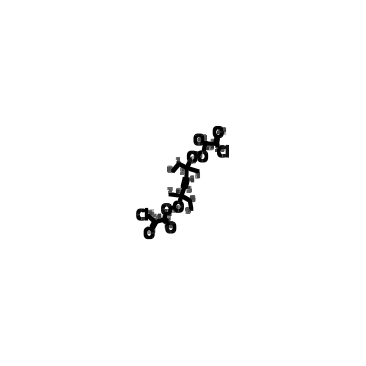 CCC(C)(C#CC(C)(CC)OOC(=O)C(=O)Cl)OOC(=O)C(=O)Cl